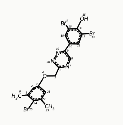 Cc1cc(OCc2ncc(-c3cc(Br)c(O)c(Br)c3)nn2)cc(C)c1Br